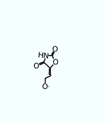 [O]CC=C1OC(=O)NC1=O